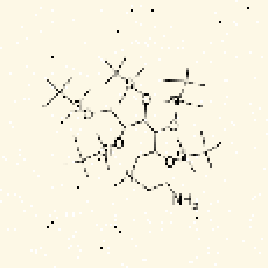 CN(CCN)CC(O[Si](C)(C)C(C)(C)C)C(O[Si](C)(C)C(C)(C)C)C(O[Si](C)(C)C(C)(C)C)C(CO[Si](C)(C)C(C)(C)C)O[Si](C)(C)C(C)(C)C